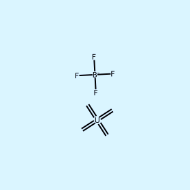 F[B-](F)(F)F.[CH2]=[U](=[CH2])(=[CH2])=[CH2]